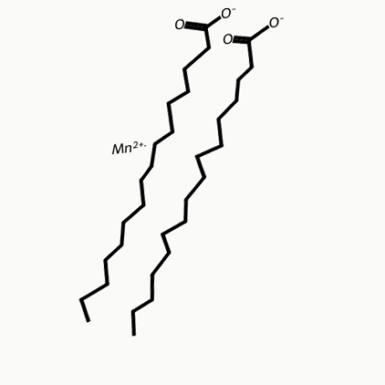 CCCCCCCCCCCCCCCC(=O)[O-].CCCCCCCCCCCCCCCC(=O)[O-].[Mn+2]